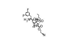 CCCCS(=O)(=O)C[C@H](NC(=O)OCCC#N)C(=O)N(C[C@@H](O)[C@@H](N)Cc1cc(F)cc(F)c1)C1CC1